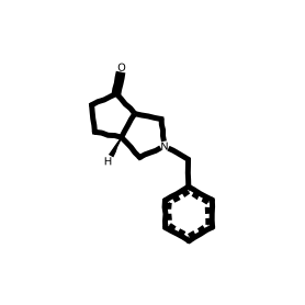 O=C1CC[C@H]2CN(Cc3ccccc3)CC12